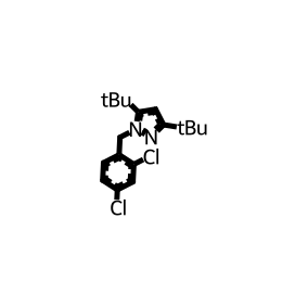 CC(C)(C)c1cc(C(C)(C)C)n(Cc2ccc(Cl)cc2Cl)n1